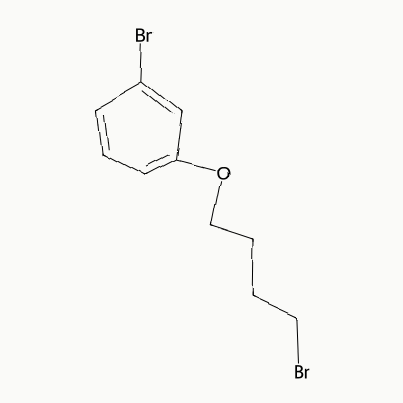 BrCCCCOc1cccc(Br)c1